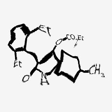 CCOC(=O)OC1=C(c2c(CC)cccc2CC)C(=O)NC12CCC(C)CC2